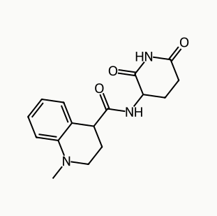 CN1CCC(C(=O)NC2CCC(=O)NC2=O)c2ccccc21